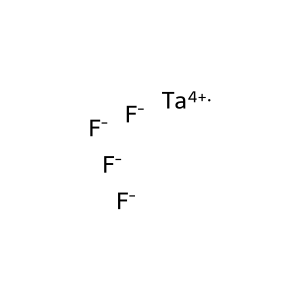 [F-].[F-].[F-].[F-].[Ta+4]